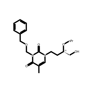 CCCO[C@H](CO)CCn1cc(C)c(=O)n(COCc2ccccc2)c1=O